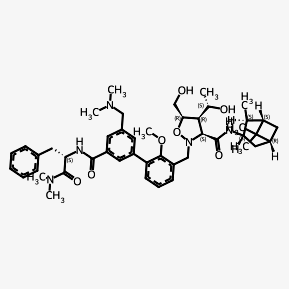 COc1c(CN2O[C@@H](CO)[C@@H]([C@H](C)O)[C@H]2C(=O)N[C@H]2C[C@H]3C[C@@H]([C@@H]2C)C3(C)C)cccc1-c1cc(CN(C)C)cc(C(=O)N[C@@H](Cc2ccccc2)C(=O)N(C)C)c1